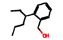 CCCC(CC)c1ccccc1CO